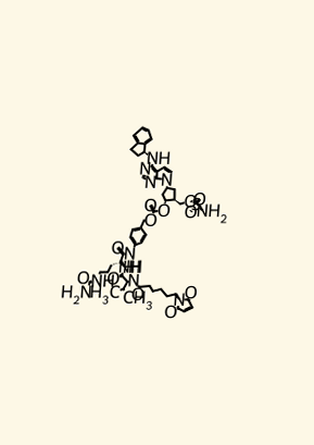 CC(C)[C@@H](NC(=O)CCCCCN1C(=O)C=CC1=O)C(=O)N[C@H](CCCNC(N)=O)C(=O)Nc1ccc(COC(=O)O[C@H]2C[C@H](n3ccc4c(N[C@H]5CCc6ccccc65)ncnc43)C[C@H]2COS(N)(=O)=O)cc1